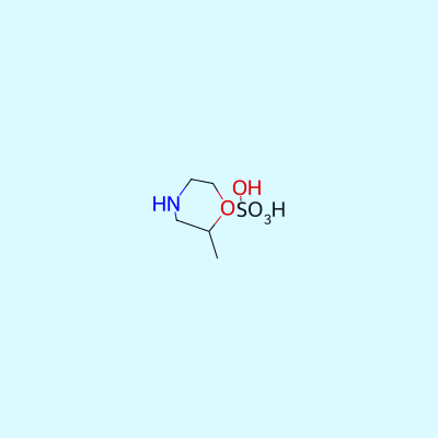 CC1CNCCO1.O=S(=O)(O)O